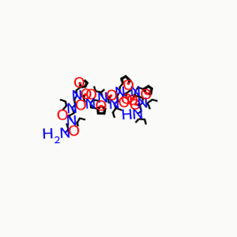 CCC(C)NCC(=O)N(CC(=O)N(CC(=O)N(CC(=O)N(CC(=O)N(CC(=O)N(CC(=O)N(CC(=O)N(CC(=O)N(CC(N)=O)C(C)CC)C(C)CC)Cc1ccco1)Cc1ccco1)C(C)CC)C(C)CC)Cc1ccco1)Cc1ccco1)C(C)CC